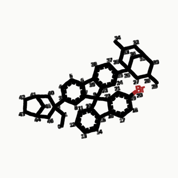 CCC1(c2ccc3c(c2)C2(c4ccccc4-c4ccc(Br)cc42)c2cc(C45CC(C)CC(CC(C)C4)C5)ccc2-3)CC2CCC(C2)C1